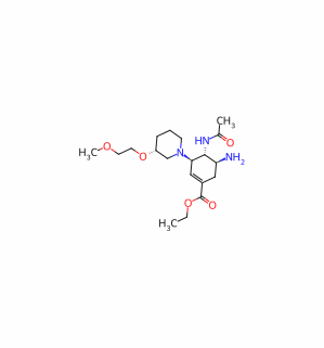 CCOC(=O)C1=C[C@@H](N2CCC[C@@H](OCCOC)C2)[C@H](NC(C)=O)[C@@H](N)C1